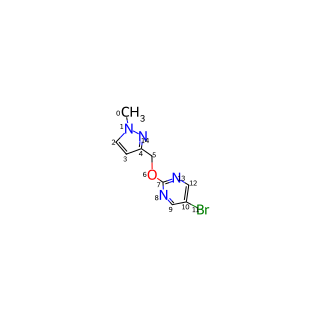 Cn1ccc(COc2ncc(Br)cn2)n1